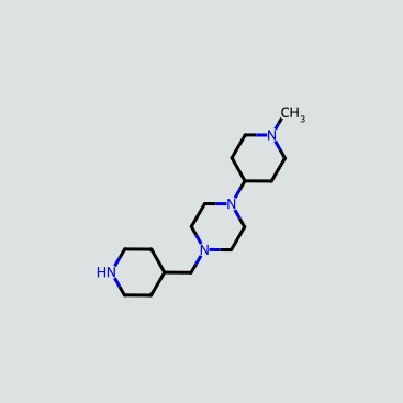 CN1CCC(N2CCN(CC3CCNCC3)CC2)CC1